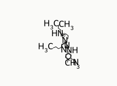 CCCCc1cc(N2CCC[C@@H](NCCC(C)C)C2)nc(Nc2ccc(C)c(C#N)c2)n1